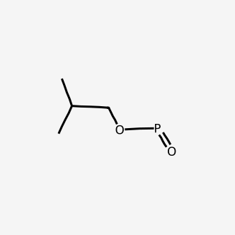 CC(C)COP=O